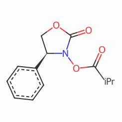 CC(C)C(=O)ON1C(=O)OC[C@@H]1c1ccccc1